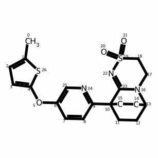 Cc1ccc(Oc2ccc(C34CCC(CC3)N3CCS(=O)(=O)N=C34)nc2)s1